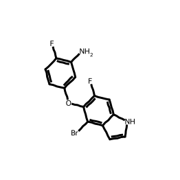 Nc1cc(Oc2c(F)cc3[nH]ccc3c2Br)ccc1F